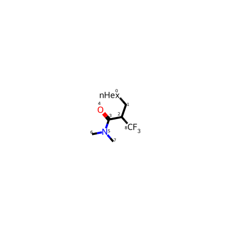 CCCCCCCC(C(=O)N(C)C)C(F)(F)F